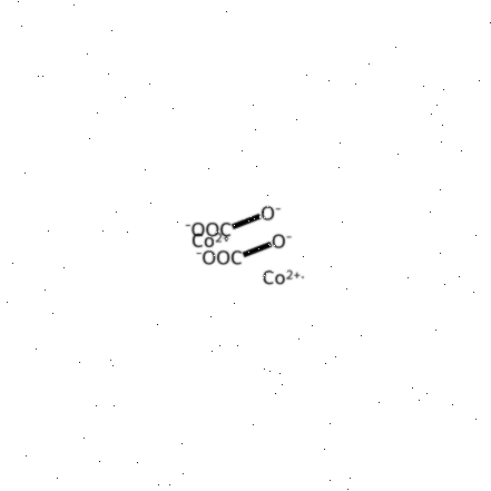 O=C([O-])[O-].O=C([O-])[O-].[Co+2].[Co+2]